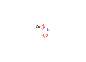 O.O.[Cu].[N]